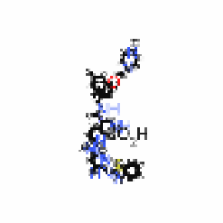 C/C(NCC1CC2(C)CC3(C)CC1CC(OCCN1CCN(C)CC1)(C2)C3)=C(/C=N)c1ccc(N(C)c2cc(C)c(Nc3nc4ccccc4s3)nn2)nc1C(=O)O